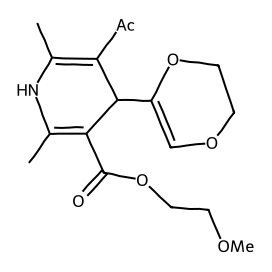 COCCOC(=O)C1=C(C)NC(C)=C(C(C)=O)C1C1=COCCO1